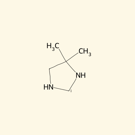 CC1(C)CN[C]N1